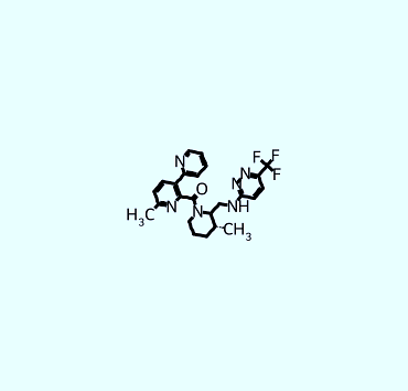 Cc1ccc(-c2ccccn2)c(C(=O)N2CCC[C@@H](C)C2CNc2ccc(C(F)(F)F)nn2)n1